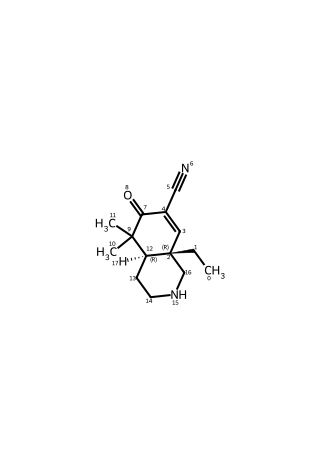 CC[C@]12C=C(C#N)C(=O)C(C)(C)[C@@H]1CCNC2